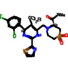 CCOC(=O)C1=C(CN2CCS(=O)(=O)C[C@H]2C(=O)NC)NC(c2nccs2)=N[C@H]1c1ccc(F)cc1Cl